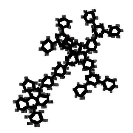 c1ccc(-c2cc(-c3ccccc3)nc(-c3ccc(-n4c5ccc(-c6nc(-c7ccccc7)nc(-c7ccccc7)n6)cc5c5cc(-c6nc(-c7ccccc7)nc(-c7ccccc7)n6)ccc54)c(-c4nc(-c5ccccc5)nc(-c5ccc(-c6ccc(N7c8ccccc8B8c9ccccc9N(c9ccccc9)c9cccc7c98)cc6)cc5)n4)c3)n2)cc1